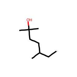 [CH2]CC(C)CCC(C)(C)O